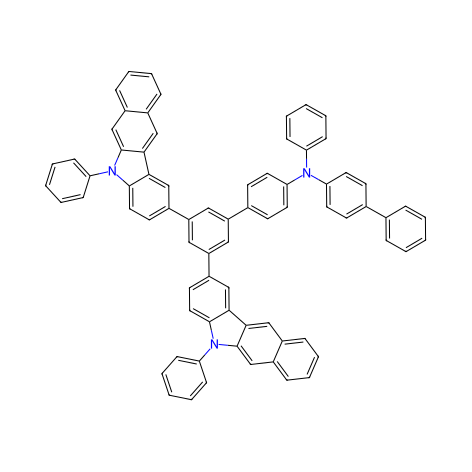 c1ccc(-c2ccc(N(c3ccccc3)c3ccc(-c4cc(-c5ccc6c(c5)c5cc7ccccc7cc5n6-c5ccccc5)cc(-c5ccc6c(c5)c5cc7ccccc7cc5n6-c5ccccc5)c4)cc3)cc2)cc1